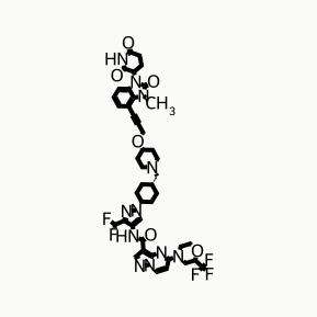 Cn1c(=O)n(C2CCC(=O)NC2=O)c2cccc(C#CCOC3CCN(C[C@H]4CC[C@H](n5cc(NC(=O)c6cnn7ccc(N8CCOC(C(F)(F)F)C8)nc67)c(C(F)F)n5)CC4)CC3)c21